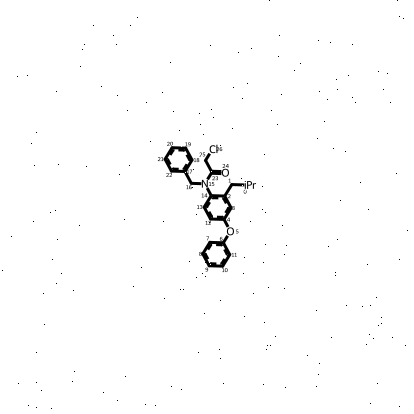 CC(C)Cc1cc(Oc2ccccc2)ccc1N(Cc1ccccc1)C(=O)CCl